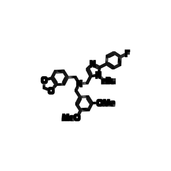 CCCCn1c(CN(Cc2cc(OC)cc(OC)c2)Cc2ccc3c(c2)OCO3)cnc1-c1ccc(F)cc1